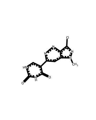 Cn1nc(Cl)c2nnc(-c3c[nH]c(=O)[nH]c3=O)cc21